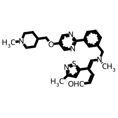 Cc1cc(C(/C=C\C=O)=C/N(C)Cc2cccc(-c3ncc(OCC4CCN(C)CC4)cn3)c2)sn1